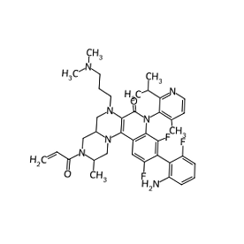 C=CC(=O)N1CC2CN(CCCN(C)C)c3c(c4cc(F)c(-c5c(N)cccc5F)c(F)c4n(-c4c(C)ccnc4C(C)C)c3=O)N2CC1C